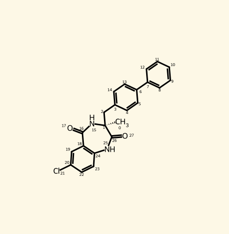 C[C@@]1(Cc2ccc(-c3ccccc3)cc2)NC(=O)c2cc(Cl)ccc2NC1=O